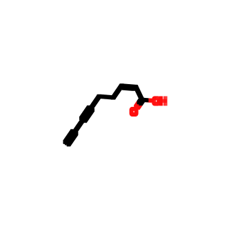 C#CC#CCC/C=C\C(=O)O